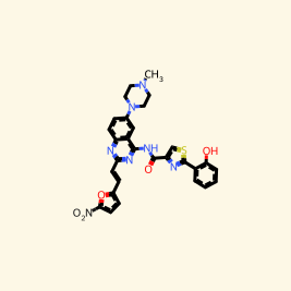 CN1CCN(c2ccc3nc(/C=C/c4ccc([N+](=O)[O-])o4)nc(NC(=O)c4csc(-c5ccccc5O)n4)c3c2)CC1